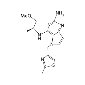 COC[C@H](C)Nc1nc(N)nc2ccn(Cc3csc(C)n3)c12